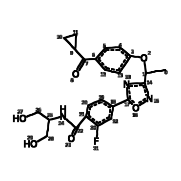 CC(Oc1ccc(C(=O)C2CC2)cc1)c1noc(-c2ccc(C(=O)NC(CO)CO)c(F)c2)n1